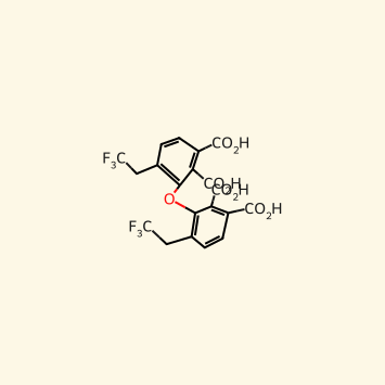 O=C(O)c1ccc(CC(F)(F)F)c(Oc2c(CC(F)(F)F)ccc(C(=O)O)c2C(=O)O)c1C(=O)O